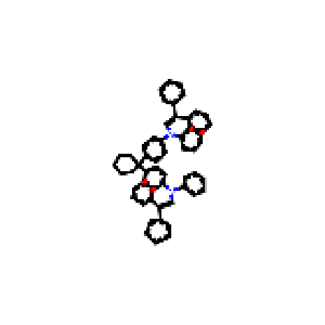 C(=C(c1ccccc1)c1ccccc1)N(c1ccccc1)c1ccc(C2(c3ccc(N(C=C(c4ccccc4)c4ccccc4)c4ccccc4)cc3)CCCCC2)cc1